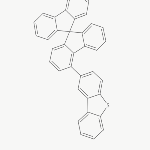 c1ccc2c(c1)-c1ccccc1C21c2ccccc2-c2c(-c3ccc4sc5ccccc5c4c3)cccc21